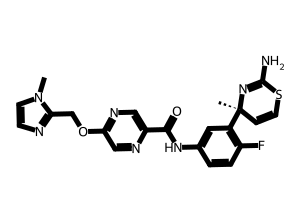 Cn1ccnc1COc1cnc(C(=O)Nc2ccc(F)c([C@]3(C)C=CSC(N)=N3)c2)cn1